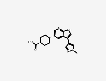 Cn1cc(-c2c[nH]c3ncc([C@H]4CC[C@H](C(=O)O)CC4)cc23)cn1